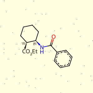 CCOC(=O)[C@H]1CCCC[C@H]1NC(=O)c1ccccc1